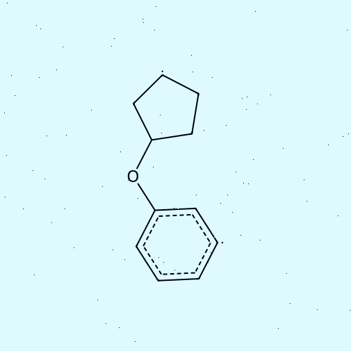 [c]1cccc(OC2C[CH]CC2)c1